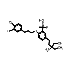 CC[C@@](N)(CO)CCc1ccc(OCCCc2ccc(Cl)c(Cl)c2)c(C(F)(F)F)c1.Cl